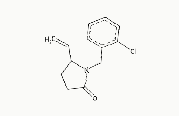 C=CC1CCC(=O)N1Cc1ccccc1Cl